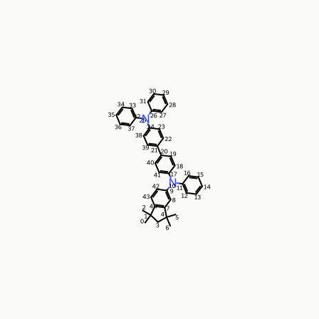 CC1(C)CC(C)(C)c2cc(N(c3ccccc3)c3ccc(-c4ccc(N(c5ccccc5)c5ccccc5)cc4)cc3)ccc21